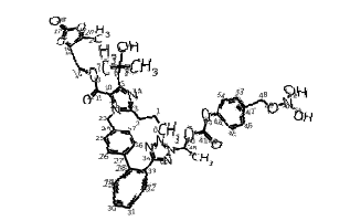 CCCc1nc(C(C)(C)O)c(C(=O)OCc2oc(=O)oc2C)n1Cc1ccc(-c2ccccc2-c2nnn(C(C)OC(=O)Oc3ccc(CON(O)O)cc3)n2)cc1